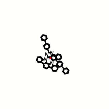 C1=Cc2c(n(-c3ccccc3-c3ccc(-c4ccccc4)cc3)c3c2ccc2c4ccccc4n(-c4nc(-c5ccccc5)nc(-c5ccc(-c6ccccc6)cc5)n4)c23)CC1